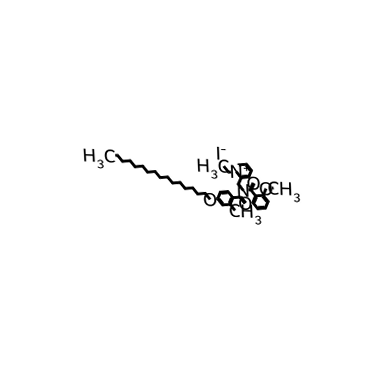 CCCCCCCCCCCCCCCCOc1ccc(C(=O)N(Cc2cccc[n+]2CC)C(=O)c2ccccc2OC)c(C)c1.[I-]